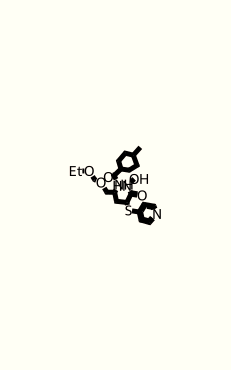 CCOCOCC(CC(Sc1ccncc1)C(=O)NO)NC(=O)C1CCC(C)CC1